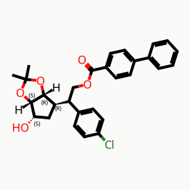 CC1(C)O[C@@H]2[C@H](O1)[C@@H](C(COC(=O)c1ccc(-c3ccccc3)cc1)c1ccc(Cl)cc1)C[C@@H]2O